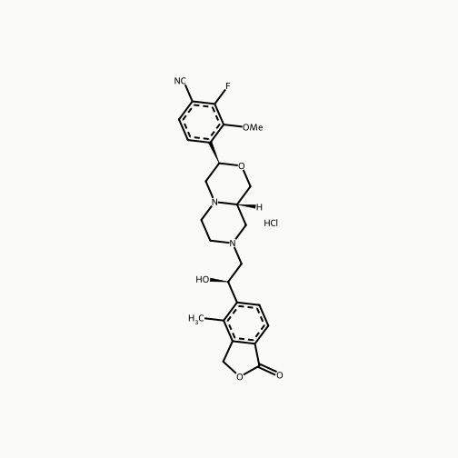 COc1c([C@@H]2CN3CCN(C[C@H](O)c4ccc5c(c4C)COC5=O)C[C@H]3CO2)ccc(C#N)c1F.Cl